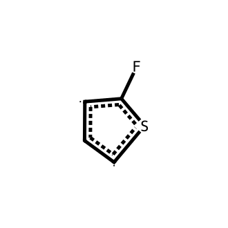 Fc1[c]c[c]s1